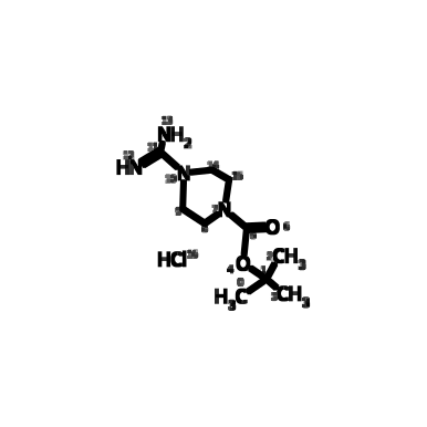 CC(C)(C)OC(=O)N1CCN(C(=N)N)CC1.Cl